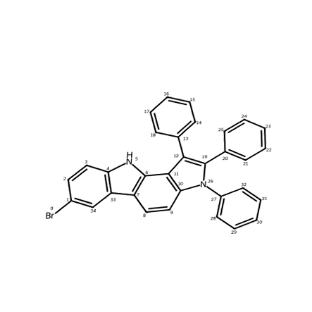 Brc1ccc2[nH]c3c(ccc4c3c(-c3ccccc3)c(-c3ccccc3)n4-c3ccccc3)c2c1